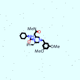 CNC(=O)CC1CN(Cc2cc(OC)cc(OC)c2)C[C@H](CC(C)C)N1C(=O)NC1CCCCC1